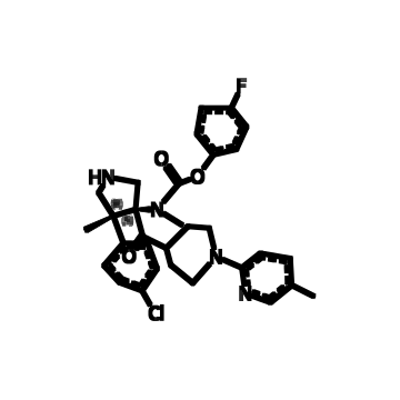 Cc1ccc(N2CCC(C(=O)[C@@]3(N(C)C(=O)Oc4ccc(F)cc4)CNC[C@@]3(C)c3ccc(Cl)cc3)CC2)nc1